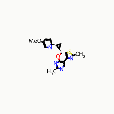 COc1ccc([C@H]2C[C@@H]2COc2nc(C)ncc2-c2csc(C)n2)nc1